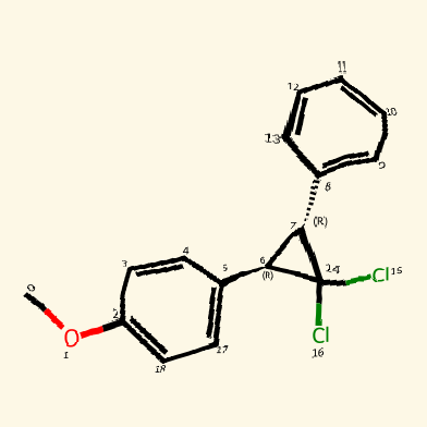 COc1ccc([C@H]2[C@H](c3ccccc3)C2(Cl)Cl)cc1